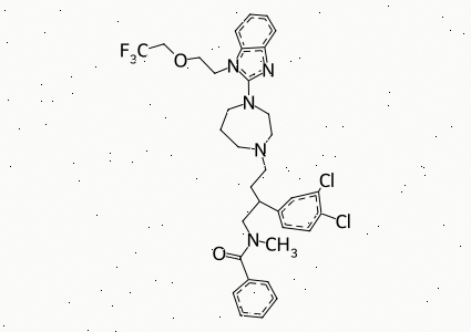 CN(CC(CCN1CCCN(c2nc3ccccc3n2CCOCC(F)(F)F)CC1)c1ccc(Cl)c(Cl)c1)C(=O)c1ccccc1